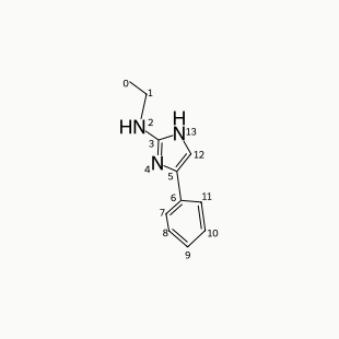 CCNc1nc(-c2ccccc2)c[nH]1